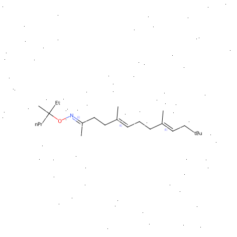 CCCC(C)(CC)O/N=C(\C)CC/C(C)=C/CC/C(C)=C/CC(C)(C)C